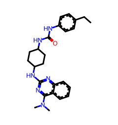 CCc1ccc(NC(=O)NC2CCC(Nc3nc(N(C)C)c4ccccc4n3)CC2)cc1